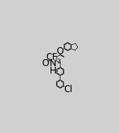 C=C(C[C@@H](Cc1ccc(-c2cccc(Cl)c2)cc1)NC(=O)C(F)(F)F)Oc1ccc2c(c1)CCC2